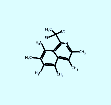 CCC(C)(CC)c1nc(C)c(C)c2c(C)c(C)c(C)c(C)c12